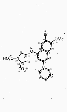 COc1cc2nc(-c3ccccc3)cc(O[C@@H]3C[C@@H](C(=O)O)N(C(=O)O)C3)c2cc1Br